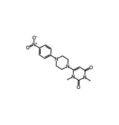 Cn1c(N2CCN(c3ccc([N+](=O)[O-])cc3)CC2)cc(=O)n(C)c1=O